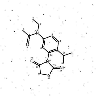 CCN(C(C)=O)c1ccc(C(C)C)c(N2C(=N)SCC2=O)c1